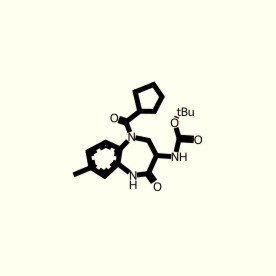 Cc1ccc2c(c1)NC(=O)C(NC(=O)OC(C)(C)C)CN2C(=O)C1CCCC1